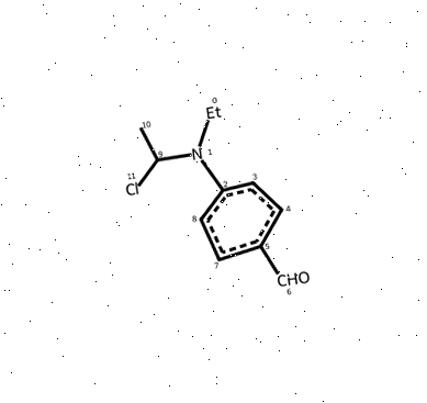 CCN(c1ccc(C=O)cc1)C(C)Cl